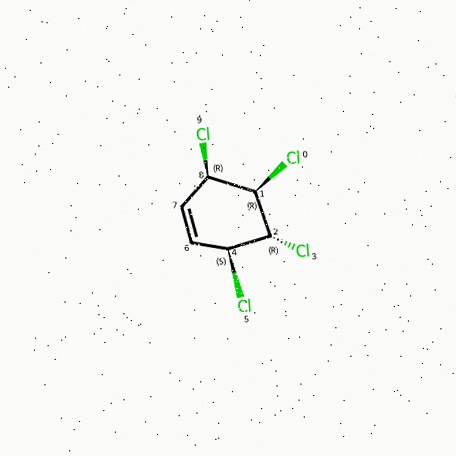 Cl[C@H]1[C@H](Cl)[C@@H](Cl)C=C[C@H]1Cl